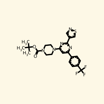 CC(C)(C)OC(=O)N1CCN(c2cc(-c3ccc(C(F)(F)F)cc3)nc(-c3cnsc3)n2)CC1